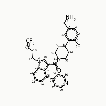 NCc1ccc(F)c(C2CCN(C(=O)c3cn(CCOC(F)(F)F)c4cccc(-c5ccncc5)c34)CC2)c1